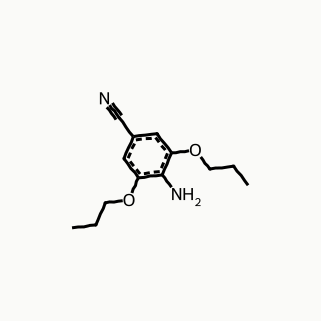 CCCOc1cc(C#N)cc(OCCC)c1N